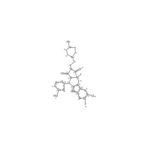 CC(=O)N1CCN(CCN2C(=O)N3C(c4cccc(O)c4)c4[nH]c5cc(F)c(Cl)cc5c4CC3(C)C2=O)CC1